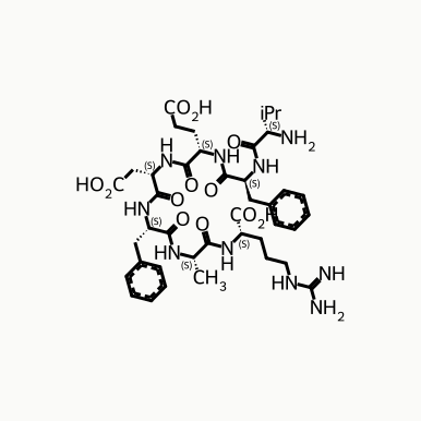 CC(C)[C@H](N)C(=O)N[C@@H](Cc1ccccc1)C(=O)N[C@@H](CCC(=O)O)C(=O)N[C@@H](CC(=O)O)C(=O)N[C@@H](Cc1ccccc1)C(=O)N[C@@H](C)C(=O)N[C@@H](CCCNC(=N)N)C(=O)O